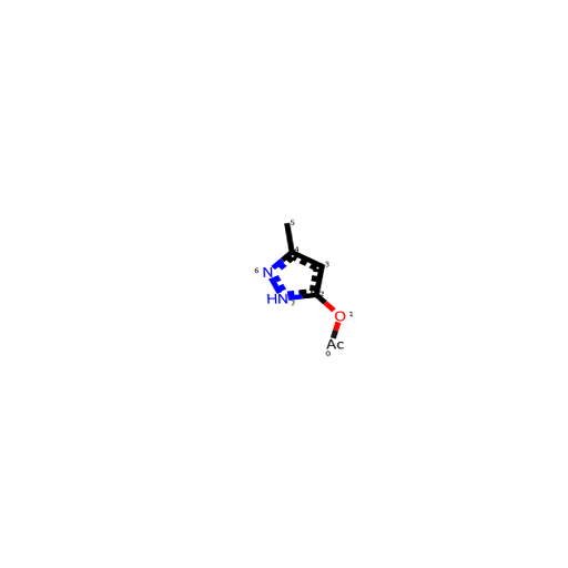 CC(=O)Oc1cc(C)n[nH]1